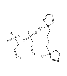 C=CCS(=O)(=O)[O-].C=CCS(=O)(=O)[O-].C[N+]1(CCCC[N+]2(C)C=CN=C2)C=CN=C1